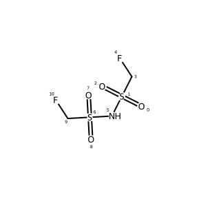 O=S(=O)(CF)NS(=O)(=O)CF